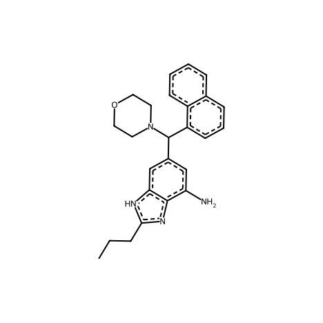 CCCc1nc2c(N)cc(C(c3cccc4ccccc34)N3CCOCC3)cc2[nH]1